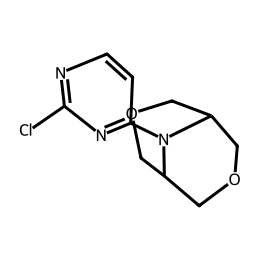 Clc1nccc(N2C3COCC2COC3)n1